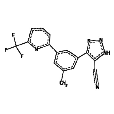 Cc1cc(-c2cccc(C(F)(F)F)n2)cc(-c2nn[nH]c2C#N)c1